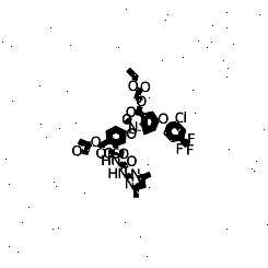 CCOC(=O)COC(=O)c1cc(Oc2ccc(C(F)(F)F)cc2Cl)ccc1[N+](=O)[O-].Cc1cc(C)nc(NC(=O)NS(=O)(=O)c2ccccc2C(=O)OC2COC2)n1